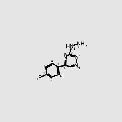 NNc1nncc(-c2ccc(F)cc2)n1